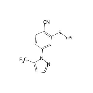 CCCSc1cc(-n2nccc2C(F)(F)F)ccc1C#N